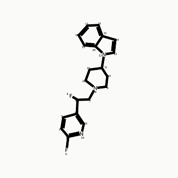 Fc1ccc(C(F)CN2CCC(n3ccc4ccccc43)CC2)cn1